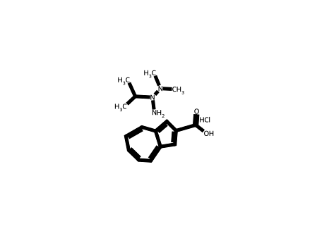 CC(C)N(N)N(C)C.Cl.O=C(O)c1cc2cccccc-2c1